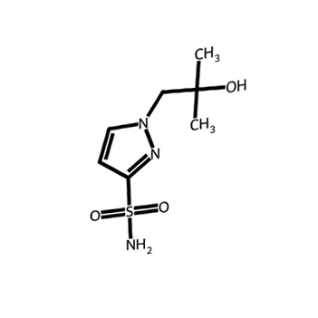 CC(C)(O)Cn1ccc(S(N)(=O)=O)n1